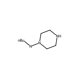 CCCC[N]N1CCNCC1